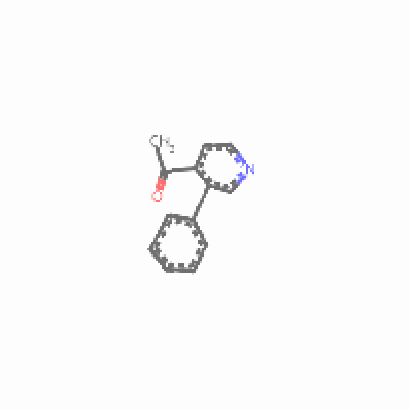 CC(=O)c1ccncc1-c1ccccc1